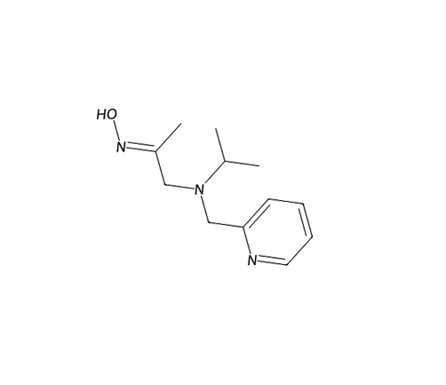 C/C(CN(Cc1ccccn1)C(C)C)=N\O